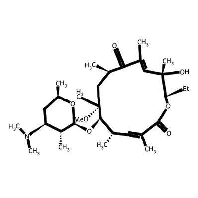 CC[C@H]1OC(=O)/C(C)=C\[C@H](C)[C@@H](O[C@@H]2O[C@H](C)C[C@H](N(C)C)[C@H]2C)[C@](C)(OC)C[C@@H](C)C(=O)/C(C)=C/[C@]1(C)O